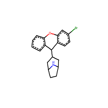 Brc1ccc2c(c1)Oc1ccccc1C2C1CC2CCC(C1)N2